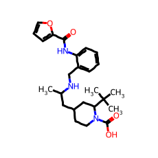 CC(CC1CCN(C(=O)O)C(C(C)(C)C)C1)NCc1ccccc1NC(=O)c1ccco1